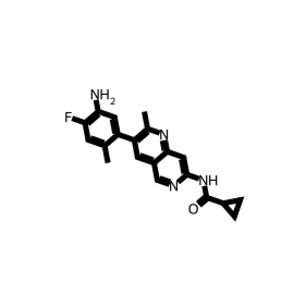 Cc1cc(F)c(N)cc1-c1cc2cnc(NC(=O)C3CC3)cc2nc1C